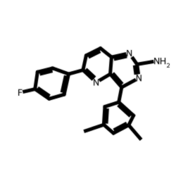 Cc1cc(C)cc(-c2nc(N)nc3ccc(-c4ccc(F)cc4)nc23)c1